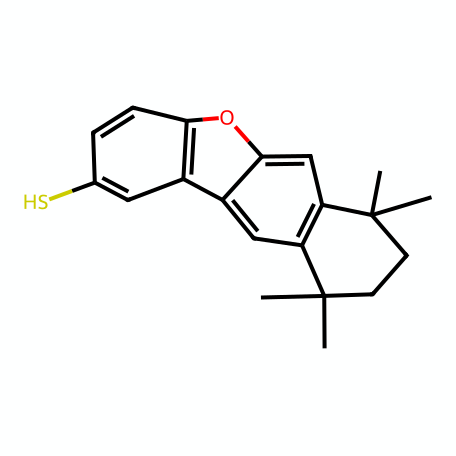 CC1(C)CCC(C)(C)c2cc3c(cc21)oc1ccc(S)cc13